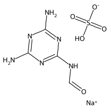 Nc1nc(N)nc(NC=O)n1.O=S(=O)([O-])O.[Na+]